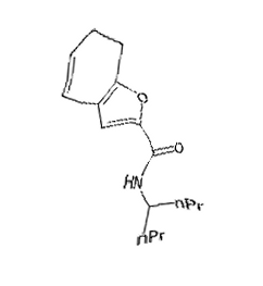 CCCC(CCC)NC(=O)c1cc2c(o1)CCC=C2